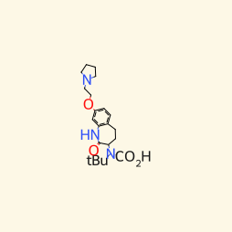 CC(C)(C)N(C(=O)O)C1CCc2ccc(OCCN3CCCC3)cc2NC1=O